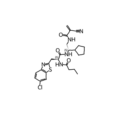 C=C(C#N)C(=O)NC[C@@H](NC(=O)[C@H](Cc1nc2ccc(Cl)cc2s1)NC(=O)CCC)C1CCCC1